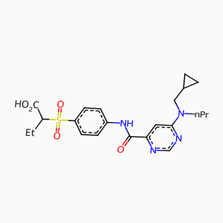 CCCN(CC1CC1)c1cc(C(=O)Nc2ccc(S(=O)(=O)C(CC)C(=O)O)cc2)ncn1